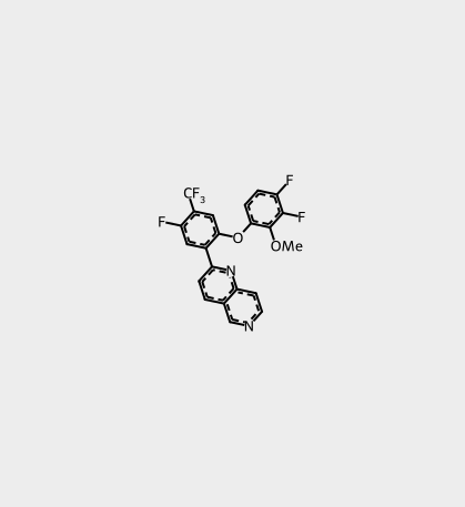 COc1c(Oc2cc(C(F)(F)F)c(F)cc2-c2ccc3cnccc3n2)ccc(F)c1F